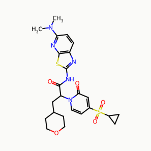 CN(C)c1ccc2nc(NC(=O)C(CC3CCOCC3)n3ccc(S(=O)(=O)C4CC4)cc3=O)sc2n1